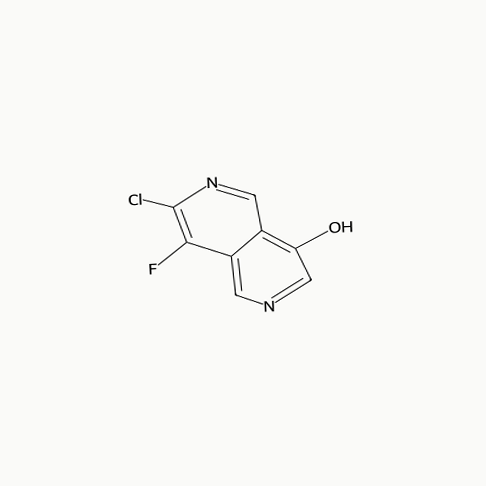 Oc1cncc2c(F)c(Cl)ncc12